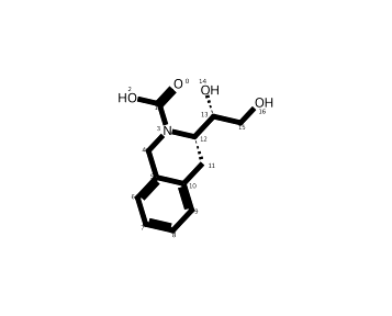 O=C(O)N1Cc2ccccc2C[C@H]1[C@H](O)CO